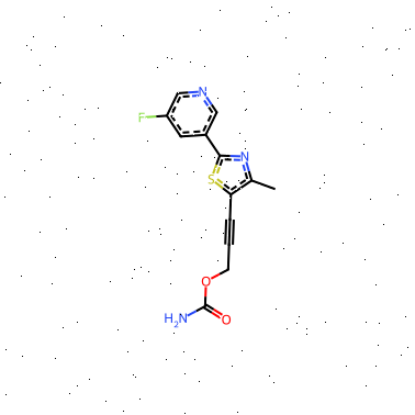 Cc1nc(-c2cncc(F)c2)sc1C#CCOC(N)=O